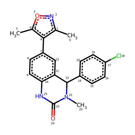 Cc1noc(C)c1-c1ccc2c(c1)C(c1ccc(Cl)cc1)N(C)C(=O)N2